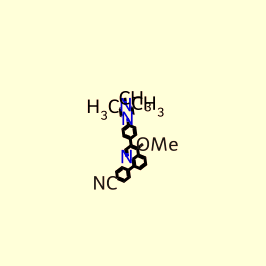 COc1c(-c2ccc(N3CC(C)N(C)C(C)C3)cc2)cnc2c(-c3ccc(C#N)cc3)cccc12